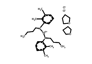 C1CCOC1.C1CCOC1.CCCC[N]([Hf+2][N](CCCC)c1cccc(C)c1C)c1cccc(C)c1C.[Cl-].[Cl-]